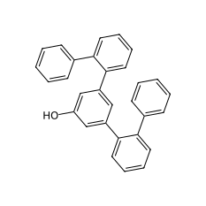 Oc1cc(-c2ccccc2-c2ccccc2)cc(-c2ccccc2-c2ccccc2)c1